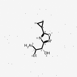 CCC([AsH2])[C@@H](O)c1noc(C2CC2)n1